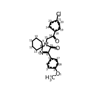 COc1ccc(C2=NC3(CCCCC3)N(CC(=O)c3ccc(Cl)cc3)C2=O)cc1